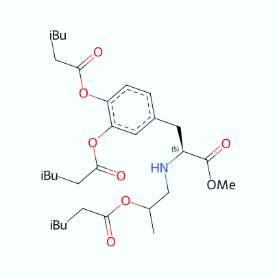 CCC(C)CC(=O)Oc1ccc(C[C@H](NCC(C)OC(=O)CC(C)CC)C(=O)OC)cc1OC(=O)CC(C)CC